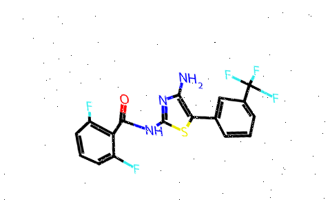 Nc1nc(NC(=O)c2c(F)cccc2F)sc1-c1cccc(C(F)(F)F)c1